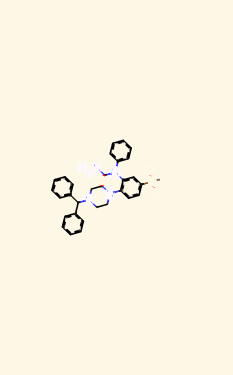 CS(=O)(=O)c1ccc(N2CCN(C(c3ccccc3)c3ccccc3)CC2)c(N(C(N)=O)c2ccccc2)c1